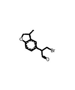 CC1COc2ccc(C(C=O)CBr)cc21